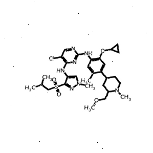 COCC1CC(c2cc(OC3CC3)c(Nc3ncc(Cl)c(Nc4cn(C)nc4S(=O)(=O)CC(C)C)n3)cc2C)CCN1C